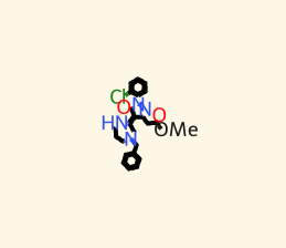 COC(=O)CC1=NN(c2ccccc2Cl)C(=O)/C1=C1/CN(Cc2ccccc2)CCCN1